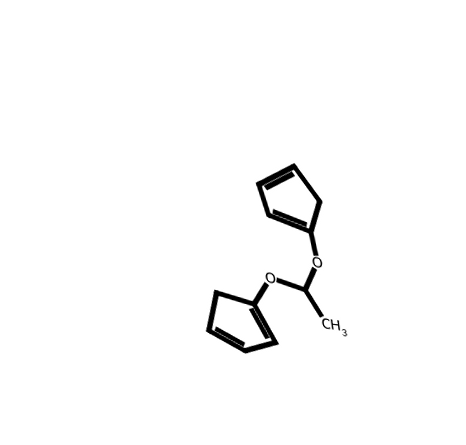 C[C](OC1=CC=CC1)OC1=CC=CC1